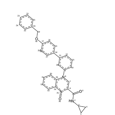 O=C(NC1CC1)c1cn(-c2cccc(-c3ccc(OCc4ccccc4)nc3)c2)c2ccccc2[n+]1=O